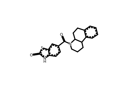 O=C(c1ccc2[nH]c(=O)sc2c1)N1CCCC2c3ccccc3CCC21